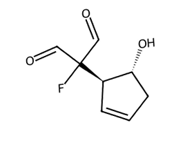 O=CC(F)(C=O)[C@@H]1C=CC[C@H]1O